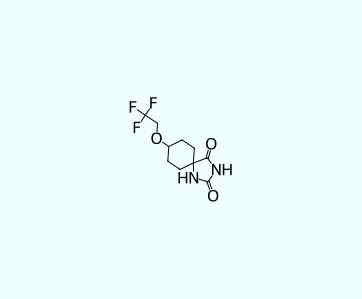 O=C1NC(=O)C2(CCC(OCC(F)(F)F)CC2)N1